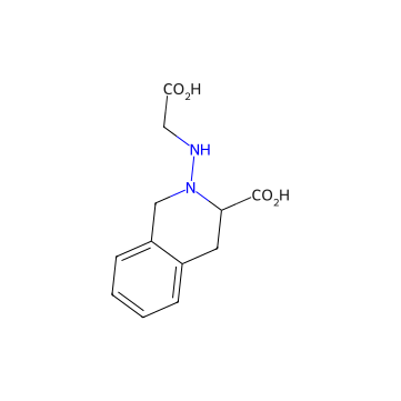 O=C(O)CNN1Cc2ccccc2CC1C(=O)O